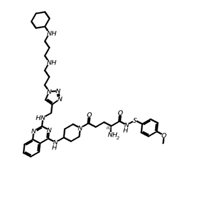 COc1ccc(SNC(=O)[C@@H](N)CCC(=O)N2CCC(Nc3nc(NCc4cn(CCCNCCCNC5CCCCC5)nn4)nc4ccccc34)CC2)cc1